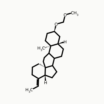 CC=C1CCC[C@]23CCC4C(CC[C@H]5C[C@H](OCOC)CC[C@]45C)C2CC[C@H]13